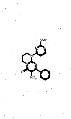 CSc1nccc(N2CCCn3c2nc(-c2ccccc2)c([N+](=O)[O-])c3=O)n1